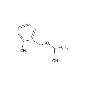 Cc1ccccc1COC(C)O